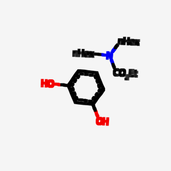 CCCCCCN(CCCCCC)C(=O)OCC.Oc1cccc(O)c1